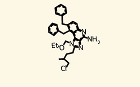 CCOCn1c(CCC(C)CCl)nc2c(N)nc3ccc(Cc4ccccc4)c(Cc4ccccc4)c3c21